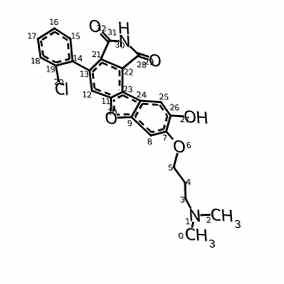 CN(C)CCCOc1cc2oc3cc(-c4ccccc4Cl)c4c(c3c2cc1O)C(=O)NC4=O